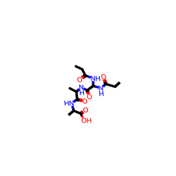 CCC(=O)NC(NC(=O)CC)C(=O)NC(C)C(=O)NC(C)C(=O)O